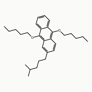 CCCCCOc1c2ccccc2c(OCCCCC)c2cc(CCCC(C)C)ccc12